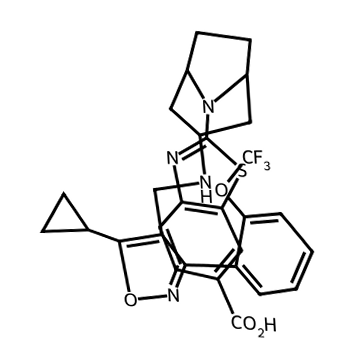 O=C(O)c1ccc2nc(N3C4CCC3CC(NCc3c(-c5ccccc5OC(F)(F)F)noc3C3CC3)C4)sc2c1